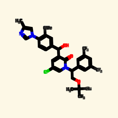 COc1cc(C(O)c2cc(Cl)cn(C(CO[Si](C)(C)C(C)(C)C)c3cc(C(F)(F)F)cc(C(F)(F)F)c3)c2=O)ccc1-n1cnc(C)c1